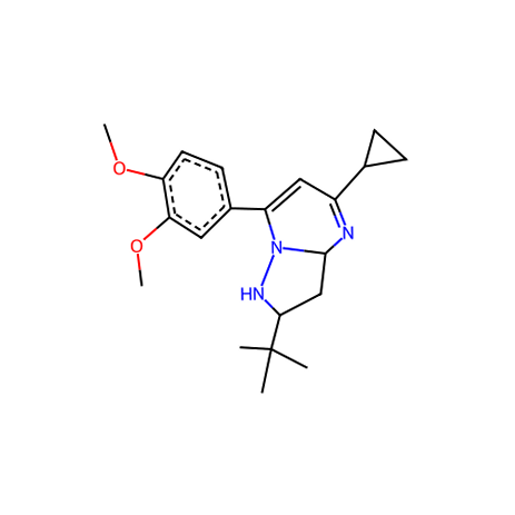 COc1ccc(C2=CC(C3CC3)=NC3CC(C(C)(C)C)NN23)cc1OC